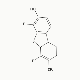 Oc1ccc2c(c1F)SC1C(F)=C(C(F)(F)F)C=CC21